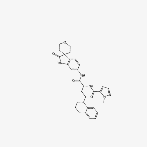 Cn1nccc1C(=O)NC(CCC1CCCc2ccccc21)C(=O)Nc1ccc2c(c1)NC(=O)C21CCOCC1